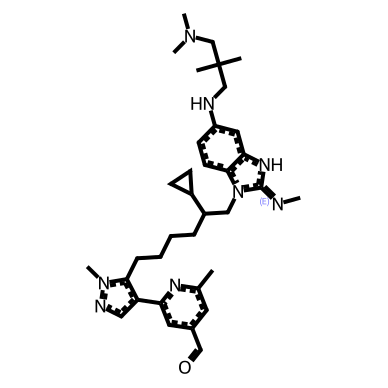 C/N=c1\[nH]c2cc(NCC(C)(C)CN(C)C)ccc2n1CC(CCCCc1c(-c2cc(C=O)cc(C)n2)cnn1C)C1CC1